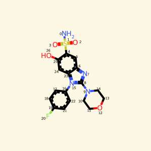 NS(=O)(=O)c1cc2nc(N3CCOCC3)n(-c3ccc(F)cc3)c2cc1O